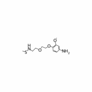 COc1cc(N)ccc1OCCOCCNSC